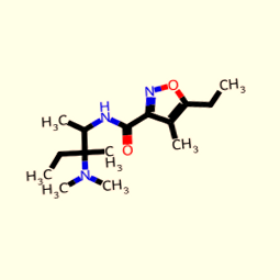 CCc1onc(C(=O)NC(C)C(C)(CC)N(C)C)c1C